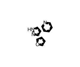 [c]1cc[nH]n1.[c]1ccco1.c1ccncc1